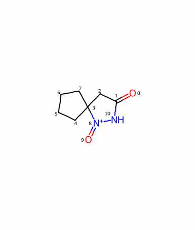 O=C1CC2(CCCC2)[N+](=O)N1